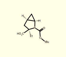 CC[C@]1(C(=O)O)C[C@H]2C[C@H]2N1C(=O)OC(C)(C)C